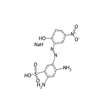 Nc1cc(N)c(S(=O)(=O)O)cc1/N=N/c1cc([N+](=O)[O-])ccc1O.[NaH]